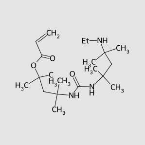 C=CC(=O)OC(C)(C)CC(C)(C)NC(=O)NC(C)(C)CC(C)(C)NCC